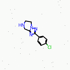 Clc1ccc(-c2nc3n(n2)CCNC3)cc1